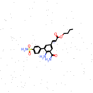 CCCCOC(=O)/C=C/c1cc(C(N)=O)c(N)c(-c2ccc(S(N)(=O)=O)cc2)c1